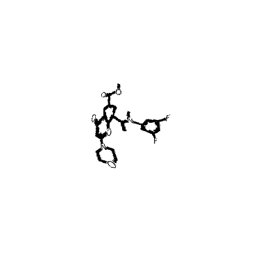 COC(=O)c1cc(C(C)N(C)c2cc(F)cc(F)c2)c2oc(N3CCOCC3)cc(=O)c2c1